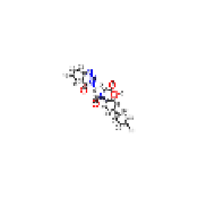 COC(=O)C(CCn1nnc2ccc(C)cc2c1=O)N(C=O)c1ccc(-c2ccc(C)cc2)cc1